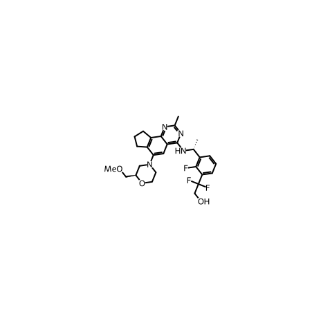 COC[C@H]1CN(c2cc3c(N[C@H](C)c4cccc(C(F)(F)CO)c4F)nc(C)nc3c3c2CCC3)CCO1